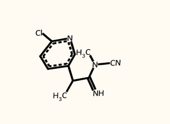 CC(C(=N)N(C)C#N)c1ccc(Cl)nc1